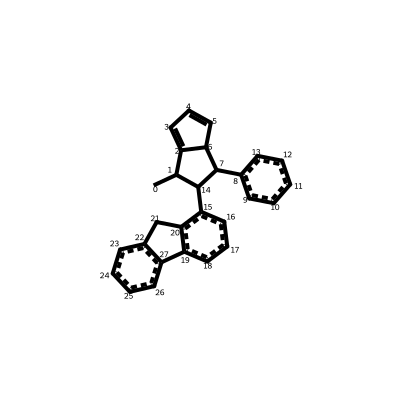 CC1C2=CC=CC2C(c2ccccc2)C1c1cccc2c1Cc1ccccc1-2